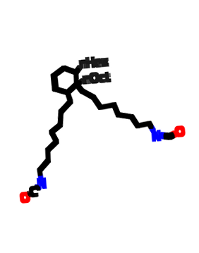 CCCCCCCCC1(CCCCCCCCN=C=O)C(CCCCCCCCN=C=O)C=CCC1CCCCCC